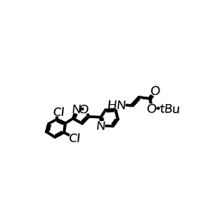 CC(C)(C)OC(=O)C=CNc1ccnc(-c2cc(-c3c(Cl)cccc3Cl)no2)c1